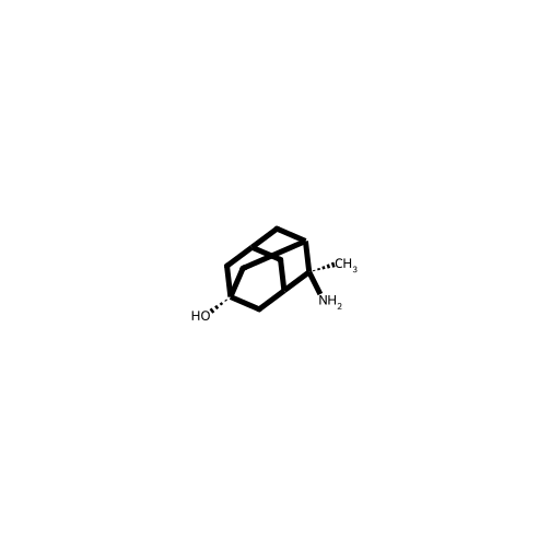 C[C@]1(N)C2CC3CC1C[C@](O)(C3)C2